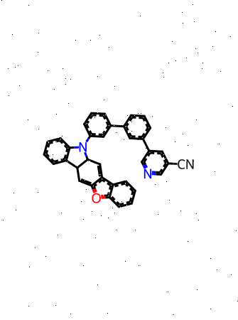 N#Cc1cncc(-c2cccc(-c3cccc(N4c5ccccc5C5C=c6oc7ccccc7c6=CC54)c3)c2)c1